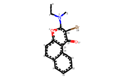 CCN(C)c1oc2ccc3ccccc3c2c(=O)c1Br